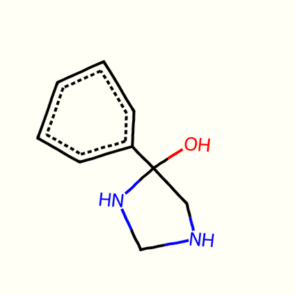 OC1(c2ccccc2)CNCN1